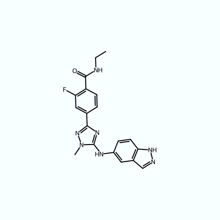 CCNC(=O)c1ccc(-c2nc(Nc3ccc4[nH]ncc4c3)n(C)n2)cc1F